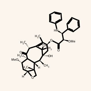 CO[C@H]1C[C@H]2OC[C@@]2(C)[C@H]2[C@H](C)[C@]3(O)C[C@H](OC(=O)[C@H](OC)[C@@H](Nc4ccccc4)c4ccccc4)C(C)=C([C@@H](C)C(=O)[C@]12C)C3(C)C